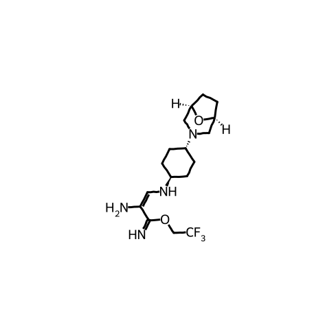 N=C(OCC(F)(F)F)/C(N)=C\N[C@H]1CC[C@H](N2C[C@H]3CC[C@@H](C2)O3)CC1